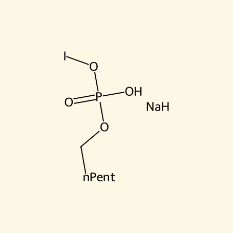 CCCCCCOP(=O)(O)OI.[NaH]